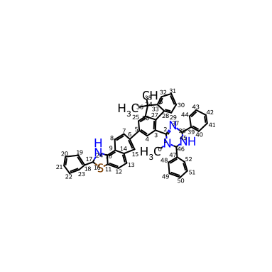 CN1C(c2cc(-c3ccc4c5c(ccc4c3)SC(c3ccccc3)N5)cc3c2-c2ccccc2C3(C)C)=NC(c2ccccc2)NC1c1ccccc1